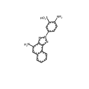 Nc1ccc(-n2nc3c(N)cc4ccccc4c3n2)cc1S(=O)(=O)O